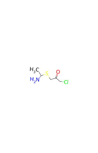 CC(N)SCC(=O)CCl